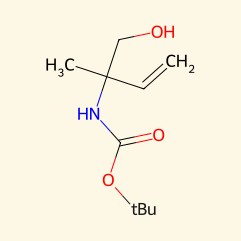 C=CC(C)(CO)NC(=O)OC(C)(C)C